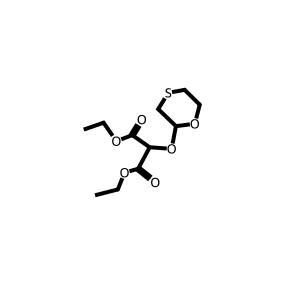 CCOC(=O)C(OC1CSCCO1)C(=O)OCC